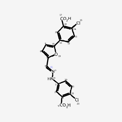 O=C(O)c1cc(N/N=C/c2ccc(-c3ccc(Cl)c(C(=O)O)c3)o2)ccc1Cl